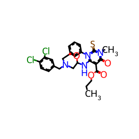 CCCOC(=O)c1c(NC2CN(Cc3ccc(Cl)c(Cl)c3)CCO2)n(-c2ccccc2)c(=S)n(C)c1=O